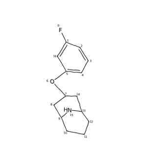 Fc1cccc(OC2CC3CCCC(C2)N3)c1